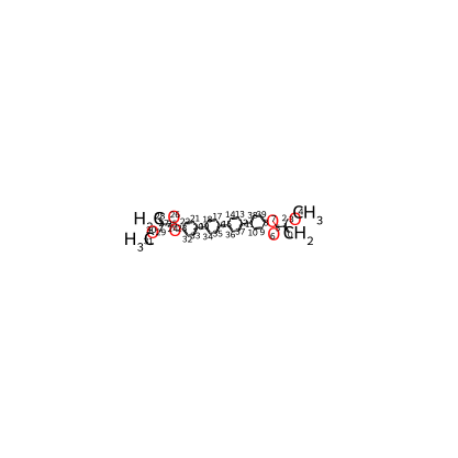 C=C(COC)C(=O)Oc1ccc(-c2ccc(-c3ccc(-c4ccc(OC(=O)C(=C)COC)cc4)cc3)cc2)cc1